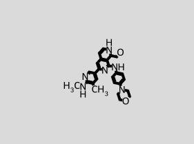 CNc1ncc(-c2cc3c(c(Nc4ccc(N5CCOCC5)cc4)n2)C(C=O)NC=C3)cc1C